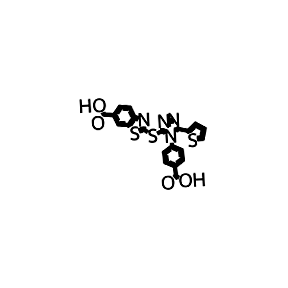 O=C(O)c1ccc(-n2c(Sc3nc4ccc(C(=O)O)cc4s3)nnc2-c2cccs2)cc1